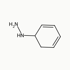 NNC1C=CC=CC1